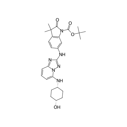 CC(C)(C)OC(=O)N1C(=O)C(C)(C)c2ccc(Nc3nc4cccc(N[C@H]5CC[C@@H](O)CC5)n4n3)cc21